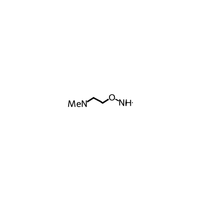 CNCCO[NH]